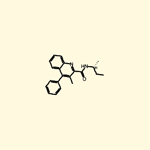 CC[C@@H](C)NC(=O)c1nc2ccccc2c(-c2ccccc2)c1C